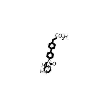 O=C(O)CCc1ccc(-c2ccc(N3C[C@@H]4CNCCN4C3=O)cc2)cc1